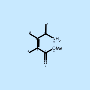 COC(=O)C(C)=C(C)C(C)N